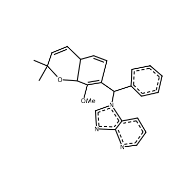 COC1=C(C(c2ccccc2)n2cnc3ncccc32)C=CC2C=CC(C)(C)OC12